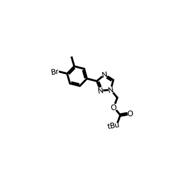 Cc1cc(-c2ncn(COC(=O)C(C)(C)C)n2)ccc1Br